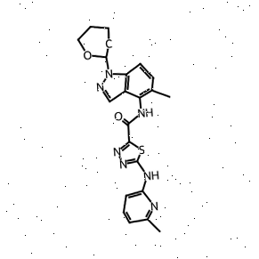 Cc1cccc(Nc2nnc(C(=O)Nc3c(C)ccc4c3cnn4C3CCCCO3)s2)n1